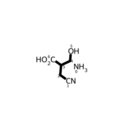 N.N#CCC(CO)C(=O)O